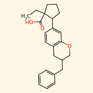 CCC1(C(=O)O)CCCC1c1ccc2c(c1)OCC(Cc1ccccc1)C2